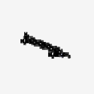 C=Nc1c(/C=C\C)ccc2ccc(-c3ccc4cc(-c5ccc6cc(-c7ccc8nc(/C(N)=C/N)ccc8c7)ccc6n5)ccc4c3)nc12